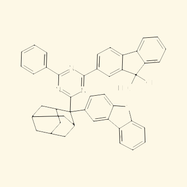 CC1(C)c2ccccc2-c2ccc(-c3nc(-c4ccccc4)nc(C4(c5ccc6sc7ccccc7c6c5)C5CC6CC(C5)CC4C6)n3)cc21